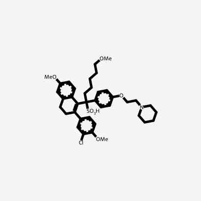 COCCCCCC(C1=C(c2ccc(OC)c(Cl)c2)CCc2cc(OC)ccc21)(c1ccc(OCCN2CCCCC2)cc1)S(=O)(=O)O